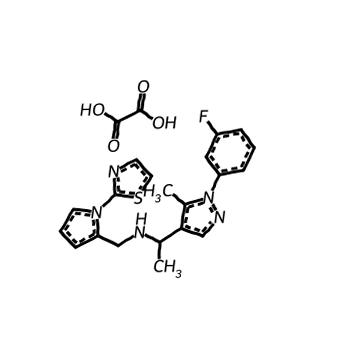 Cc1c(C(C)NCc2cccn2-c2nccs2)cnn1-c1cccc(F)c1.O=C(O)C(=O)O